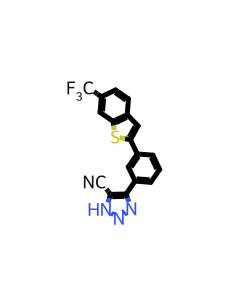 N#Cc1[nH]nnc1-c1cccc(-c2cc3ccc(C(F)(F)F)cc3s2)c1